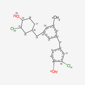 Cc1cc(Cc2ccc(O)c(Cl)c2)cc(CC2CCC(O)C(Cl)C2)c1